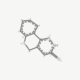 O=c1cc2c(n[nH]1)-c1ccccc1SC2